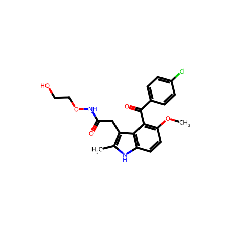 COc1ccc2[nH]c(C)c(CC(=O)NOCCO)c2c1C(=O)c1ccc(Cl)cc1